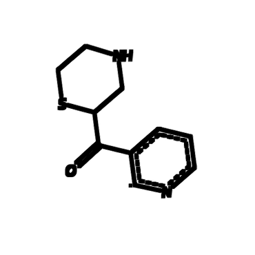 O=C(c1[c]nccc1)C1CNCCS1